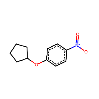 O=[N+]([O-])c1ccc(OC2CCCC2)cc1